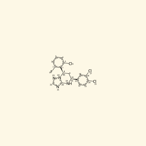 Fc1cccc(Cl)c1[C@H]1C[C@@H](c2ccc(Cl)c(Cl)c2)Nc2ncnn21